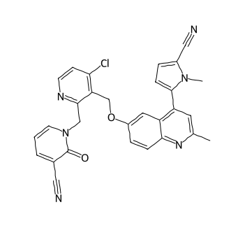 Cc1cc(-c2ccc(C#N)n2C)c2cc(OCc3c(Cl)ccnc3Cn3cccc(C#N)c3=O)ccc2n1